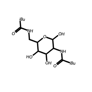 CCC(C)C(=O)NCC1OC(O)C(NC(=O)C(C)CC)C(O)C1O